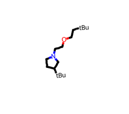 CC(C)(C)CCOCCN1CCC(C(C)(C)C)C1